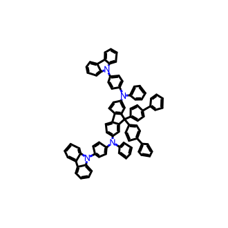 c1ccc(-c2ccc(C3(c4ccc(-c5ccccc5)cc4)c4cc(N(c5ccccc5)c5ccc(-n6c7ccccc7c7ccccc76)cc5)ccc4-c4ccc(N(c5ccccc5)c5ccc(-n6c7ccccc7c7ccccc76)cc5)cc43)cc2)cc1